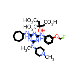 CN1CCC(N(C)c2nc(Nc3cccc(OCF)c3)nc(NC3CCCCCC3)n2)CC1.O=C(O)CC(O)(CC(=O)O)C(=O)O